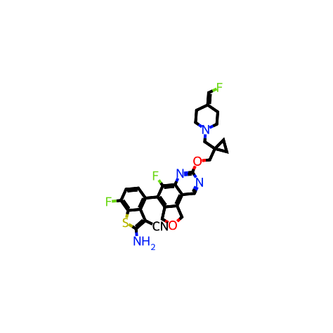 N#Cc1c(N)sc2c(F)ccc(-c3c4c(c5cnc(OCC6(CN7CCC(=CF)CC7)CC6)nc5c3F)COC4)c12